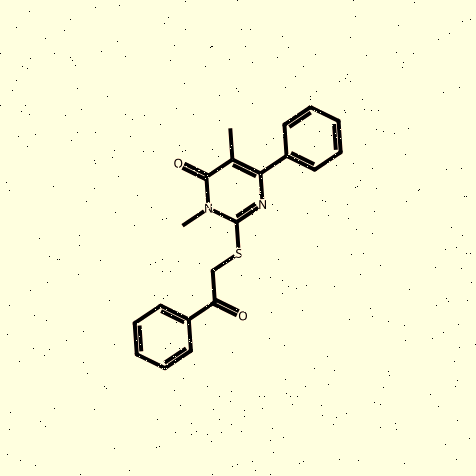 Cc1c(-c2ccccc2)nc(SCC(=O)c2ccccc2)n(C)c1=O